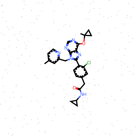 Cc1ccnc(Cn2c(-c3ccc(CC(=O)NC4CC4)cc3Cl)nc3c(OC4(C)CC4)ncnc32)c1